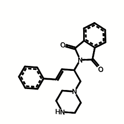 O=C1c2ccccc2C(=O)N1C(/C=C/c1ccccc1)CN1CCNCC1